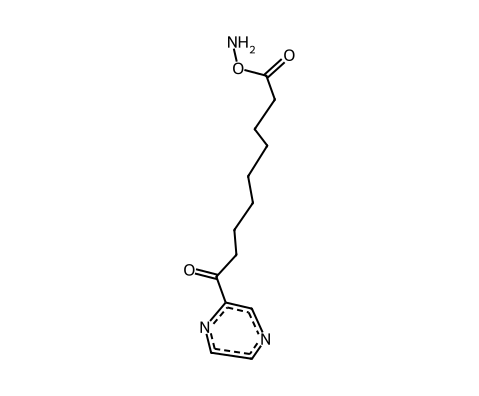 NOC(=O)CCCCCCCC(=O)c1cnccn1